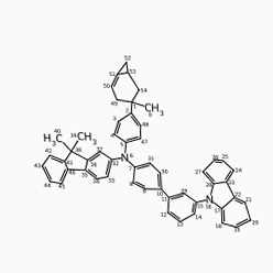 CC1(c2ccc(N(c3ccc(-c4cccc(-n5c6ccccc6c6ccccc65)c4)cc3)c3ccc4c(c3)C(C)(C)c3ccccc3-4)cc2)CC=C2CC2C1